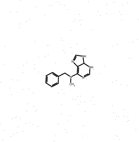 CN(Cc1ccccc1)C1=C2N=CNC2NC=N1